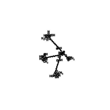 COP(=O)(O)OCCOCCNC(=O)[C@H](CCCCNC(=O)CCCCCCCCCCCOC1OC(CO)C(O)C(O)C1NC(C)=O)NC(=O)[C@H](CCCCNC(=O)CCCCCCCCCCCOC1OC(CO)C(O)C(O)C1NC(C)=O)NC(=O)CCCCCCCCCCCOC1OC(CO)C(O)C(O)C1NC(C)=O